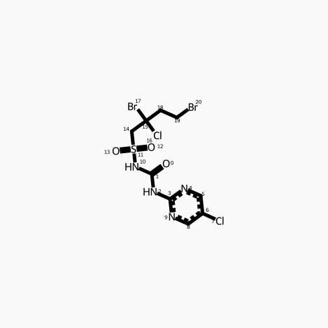 O=C(Nc1ncc(Cl)cn1)NS(=O)(=O)CC(Cl)(Br)CCBr